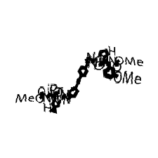 COC(=O)N[C@H](C(=O)N1CC2(CC2)C[C@H]1c1nc2ccc(C#Cc3ccc(-c4cnc([C@@H]5CCCN5C(=O)[C@H](NC(=O)OC)c5cccc(OC)c5)[nH]4)cc3)cc2[nH]1)C(C)C